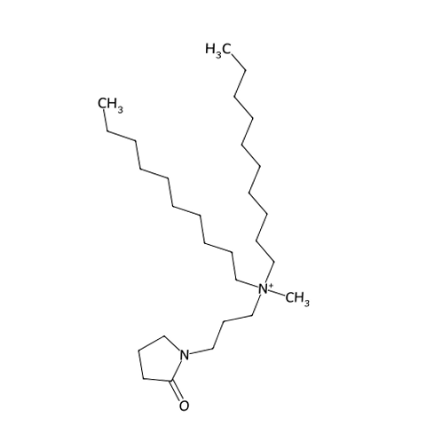 CCCCCCCCCC[N+](C)(CCCCCCCCCC)CCCN1CCCC1=O